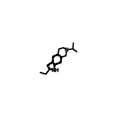 CCc1cc2cc3c(cc2[nH]1)CN(C(C)C)CC3